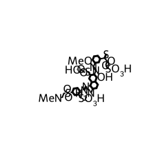 CNCCS(=O)(=O)c1ccc(N=Nc2c(N)ccc3c(O)c(N=Nc4cc(C(=S)C(=O)OS(=O)(=O)O)ccc4OC)c(SOOO)cc23)c(S(=O)(=O)O)c1